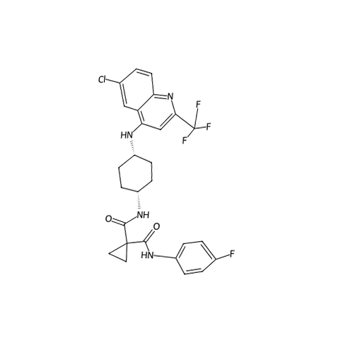 O=C(Nc1ccc(F)cc1)C1(C(=O)N[C@H]2CC[C@@H](Nc3cc(C(F)(F)F)nc4ccc(Cl)cc34)CC2)CC1